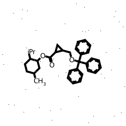 CC1CCC(C(C)C)C(OC(=O)C2CC2COC(c2ccccc2)(c2ccccc2)c2ccccc2)C1